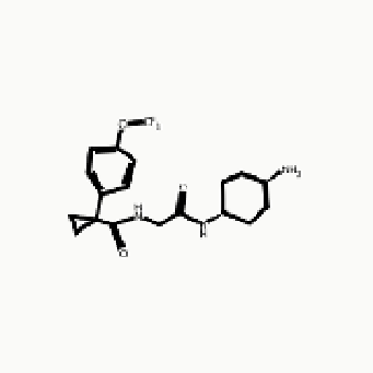 N[C@H]1CC[C@@H](NC(=O)CNC(=O)C2(c3ccc(OC(F)(F)F)cc3)CC2)CC1